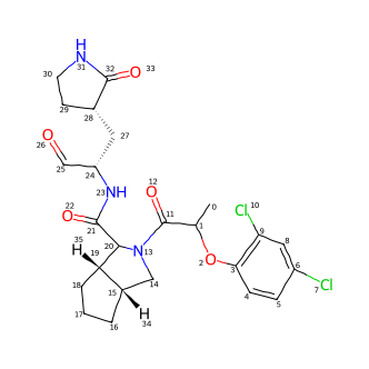 CC(Oc1ccc(Cl)cc1Cl)C(=O)N1C[C@@H]2CCC[C@@H]2C1C(=O)N[C@H](C=O)C[C@@H]1CCNC1=O